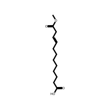 COC(=O)CC=CCCCCCCCC(=O)O